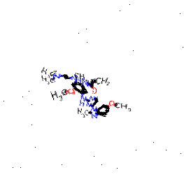 C=CC(=O)Nc1cc(Nc2nccc(-n3c(C)nc4ccc(OC)cc43)n2)c(OC)cc1N(C)CCN(C)C